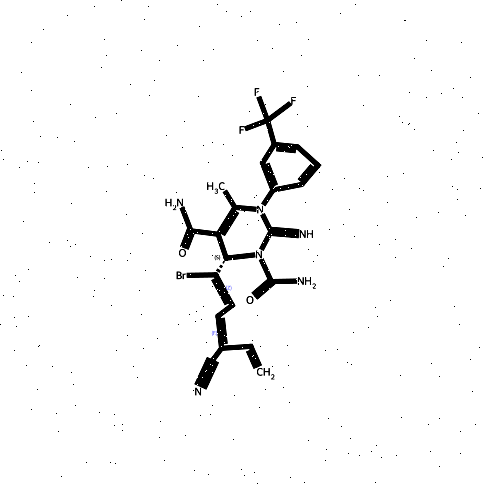 C=C/C(C#N)=C\C=C(/Br)[C@@H]1C(C(N)=O)=C(C)N(c2cccc(C(F)(F)F)c2)C(=N)N1C(N)=O